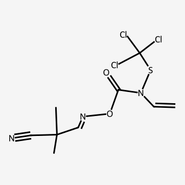 C=CN(SC(Cl)(Cl)Cl)C(=O)ON=CC(C)(C)C#N